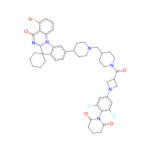 O=C(C1CN(c2cc(F)c(N3C(=O)CCCC3=O)c(F)c2)C1)N1CCC(CN2CCC(c3ccc4c(c3)-n3c(nc(=O)c5c(Br)cccc53)C43CCCCC3)CC2)CC1